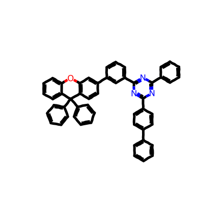 c1ccc(-c2ccc(-c3nc(-c4ccccc4)nc(-c4cccc(-c5ccc6c(c5)Oc5ccccc5C6(c5ccccc5)c5ccccc5)c4)n3)cc2)cc1